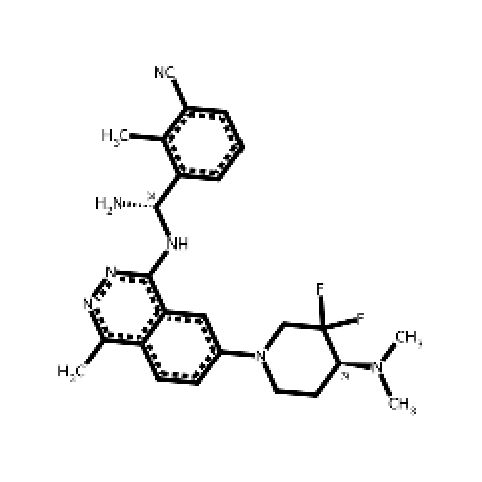 Cc1c(C#N)cccc1[C@@H](N)Nc1nnc(C)c2ccc(N3CC[C@H](N(C)C)C(F)(F)C3)cc12